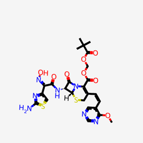 COc1ncncc1/C=C\C1=C(C(=O)OCOC(=O)C(C)(C)C)N2C(=O)[C@@H](NC(=O)/C(=N\O)c3csc(N)n3)[C@H]2SC1